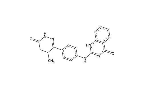 CC1CC(=O)NN=C1c1ccc(Nc2nc(=O)c3ccccc3[nH]2)cc1